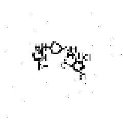 CN(C)c1ccnc(NC2CCC(NC(=S)Nc3c(Cl)cc(Cl)cc3Cl)CC2)n1